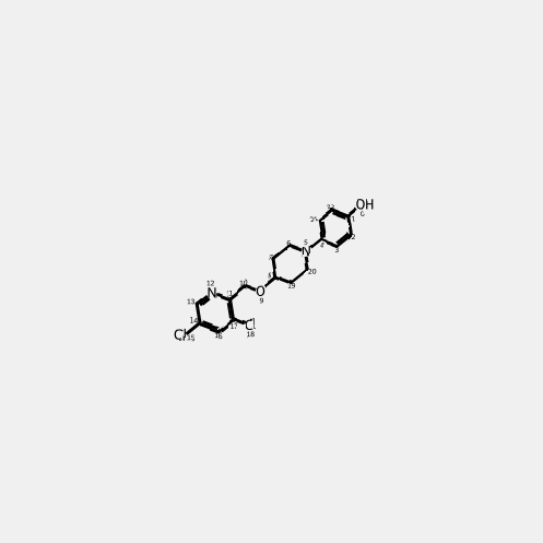 Oc1ccc(N2CCC(OCc3ncc(Cl)cc3Cl)CC2)cc1